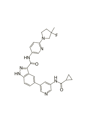 CC1(F)CCN(c2ccc(NC(=O)c3n[nH]c4ccc(-c5cncc(NC(=O)C6CC6)c5)cc34)cn2)C1